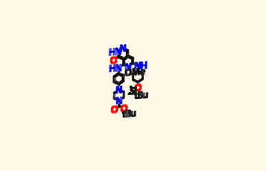 COc1cc(N2CCN(C(=O)OC(C)(C)C)CC2)ccc1Nc1nc(NC2CCC(O[Si](C)(C)C(C)(C)C)CC2)cc2cn[nH]c(=O)c12